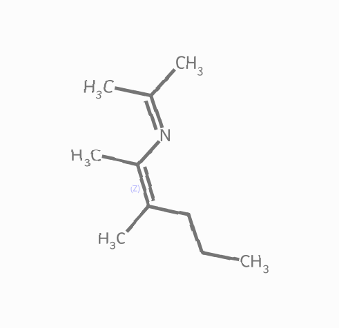 CCC/C(C)=C(/C)N=C(C)C